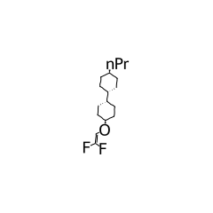 CCC[C@H]1CC[C@H]([C@H]2CC[C@H](OC=C(F)F)CC2)CC1